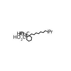 CC(C)CCCCCCCC1(C(=O)O)CCCCC1(CC(C)C)C(=O)O